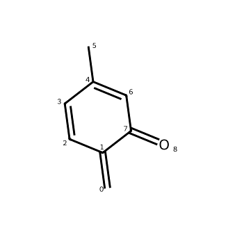 C=C1C=CC(C)=CC1=O